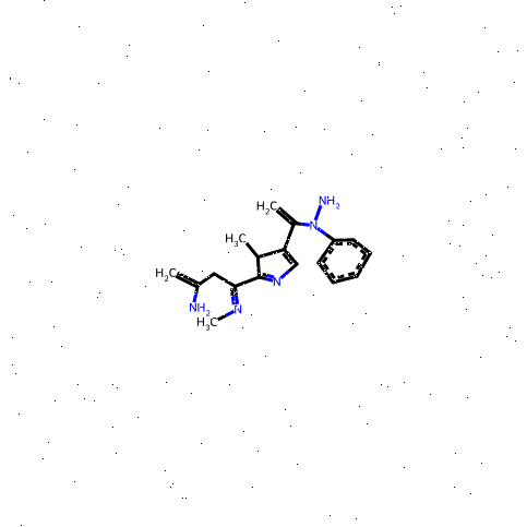 C=C(N)C/C(=N\C)C1=NC=C(C(=C)N(N)c2ccccc2)C1C